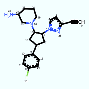 C#Cc1ccn(C2CC(c3ccc(F)cc3)CC2N2CCCC(N)C2)n1